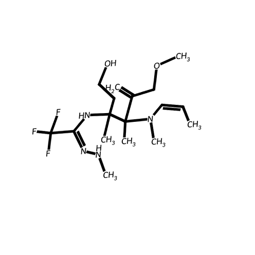 C=C(COC)C(C)(N(C)/C=C\C)C(C)(CCO)N/C(=N\NC)C(F)(F)F